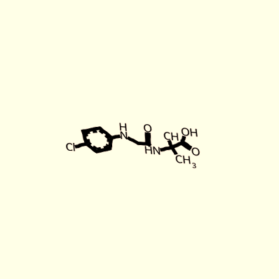 CC(C)(NC(=O)CNc1ccc(Cl)cc1)C(=O)O